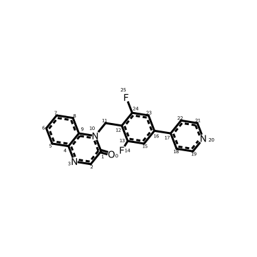 O=c1cnc2ccccc2n1Cc1c(F)cc(-c2ccncc2)cc1F